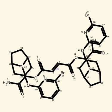 NC(=O)C(OC(=O)/C=C/C(=O)OC(C(N)=O)N1C2CCC1CC(Oc1cccc(Br)n1)C2)N1C2CCC1CC(Oc1cccc(Br)n1)C2